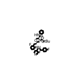 CC(C)(C)OC(=O)N1C[C@@H](CCc2c(F)cccc2N[C@@H](CCc2ccc(F)cc2)c2ccncc2F)OC[C@H]1c1nc2ccccc2[nH]1